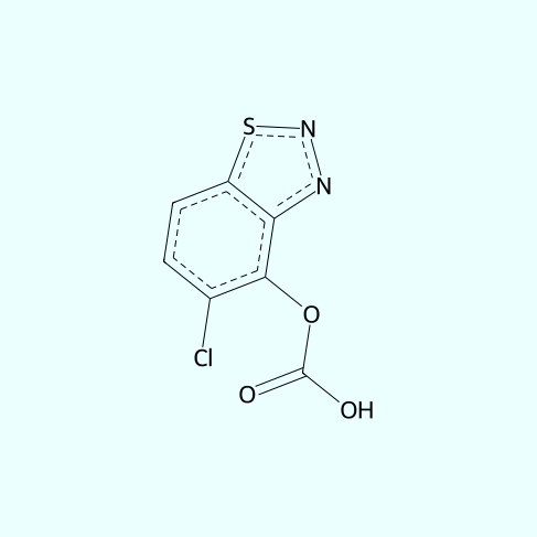 O=C(O)Oc1c(Cl)ccc2snnc12